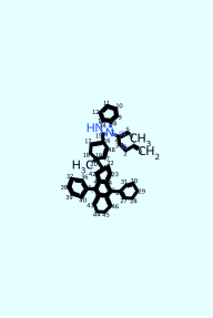 C=C/C=C\C(=C/C)N1c2ccccc2NC1C1=CCC(C)(c2ccc3c(C4=CCCC=C4)c4c(c(-c5ccccc5)c3c2)=CCCC=4)C=C1